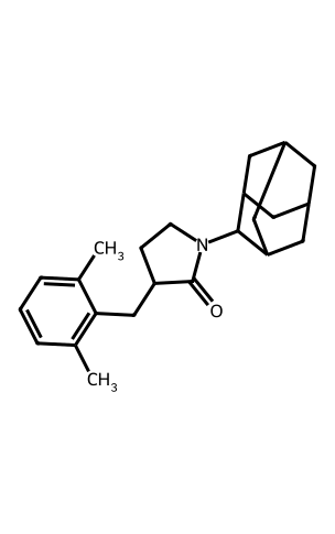 Cc1cccc(C)c1CC1CCN(C2C3CC4CC(C3)CC2C4)C1=O